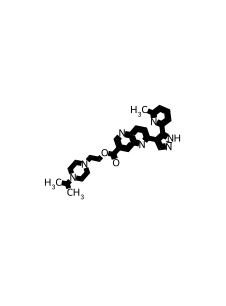 Cc1cccc(-c2[nH]ncc2-c2ccc3ncc(C(=O)OCCN4CCN(C(C)C)CC4)cc3n2)n1